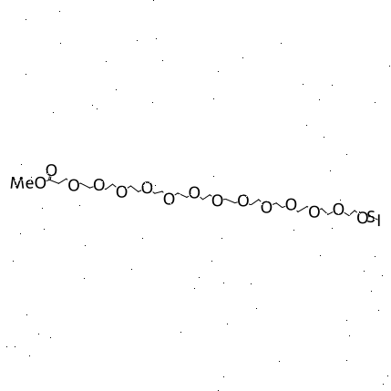 COC(=O)CCOCCOCCOCCOCCOCCOCCOCCOCCOCCOCCOCCOCCOSI